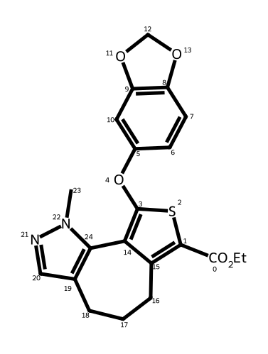 CCOC(=O)c1sc(Oc2ccc3c(c2)OCO3)c2c1CCCc1cnn(C)c1-2